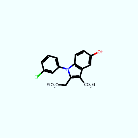 CCOC(=O)Cc1c(C(=O)OCC)c2cc(O)ccc2n1-c1cccc(Cl)c1